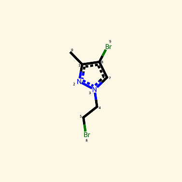 Cc1nn(CCBr)cc1Br